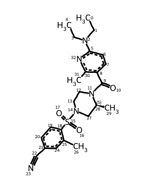 CCN(CC)c1ccc(C(=O)N2CCN(S(=O)(=O)c3ccc(C#N)cc3C)C[C@@H]2C)c(C)n1